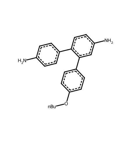 CCCCOc1ccc(-c2cc(N)ccc2-c2ccc(N)cc2)cc1